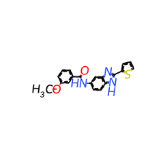 COc1cccc(C(=O)Nc2ccc3[nH]c(-c4cccs4)nc3c2)c1